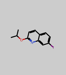 CC(C)Oc1c[c]c2ccc(I)cc2n1